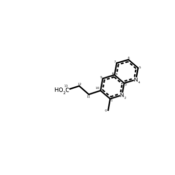 Cc1nc2ncccc2cc1CCC(=O)O